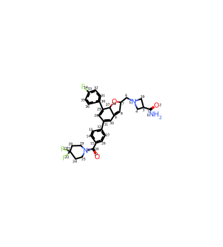 NC(=O)C1CN(CC2C=C3C=C(c4ccc(C(=O)N5CCC(F)(F)CC5)cc4)C=C(c4ccc(F)cc4)C3O2)C1